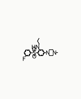 CCCNc1cc(N2CCN(C)CC2)ccc1S(=O)(=O)c1cccc(F)c1